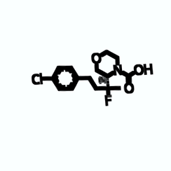 CC(F)(CCc1ccc(Cl)cc1)[C@@H]1COCCN1C(=O)O